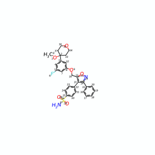 COC1(c2cc(F)cc(OCc3onc(-c4ccccc4)c3-c3ccc(S(N)(=O)=O)cc3)c2)CCOCC1